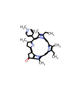 CCC1=C(C)c2cc3[nH]c(c(C)c3CC)c(-c3cc[n+](C)cc3)c3nc(c4c5[nH]c(cc1n2)c(C)c5C(=O)C4)C[C@@H]3C